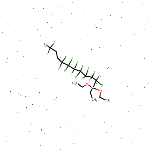 CCO[Si](CC)(OCC)C(F)(F)C(F)(F)C(F)(F)C(F)(F)C(F)(F)C(F)(F)C(F)(F)CCC(F)(F)F